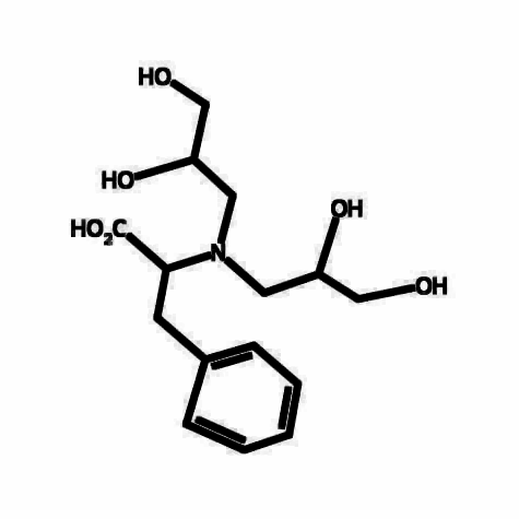 O=C(O)C(Cc1ccccc1)N(CC(O)CO)CC(O)CO